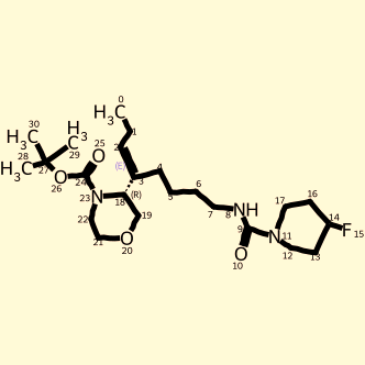 CC/C=C(\CCCCNC(=O)N1CCC(F)CC1)[C@@H]1COCCN1C(=O)OC(C)(C)C